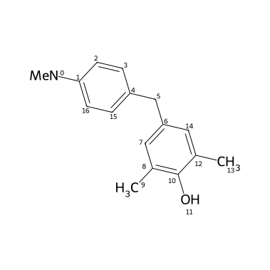 CNc1ccc(Cc2cc(C)c(O)c(C)c2)cc1